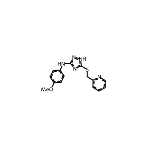 COc1ccc(Nc2n[nH]c(SCc3ccccn3)n2)cc1